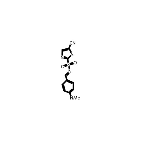 CNc1ccc(C=NS(=O)(=O)c2ncc(C#N)s2)cc1